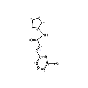 O=C(/C=C/c1cccc(Br)c1)NC1CCCC1